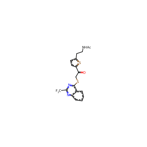 CC(=O)NCCc1ccc(C(=O)CSc2nc(C(F)(F)F)nc3ccccc23)s1